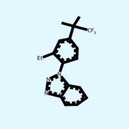 CCc1cc(C(C)(C)C(F)(F)F)ccc1-n1nnc2ccccc21